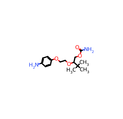 CC(C)(C)C(COC(N)=O)OCCOc1ccc(N)cc1